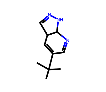 CC(C)(C)C1=CC2C=NNC2N=C1